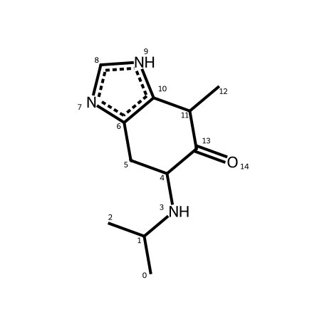 CC(C)NC1Cc2nc[nH]c2C(C)C1=O